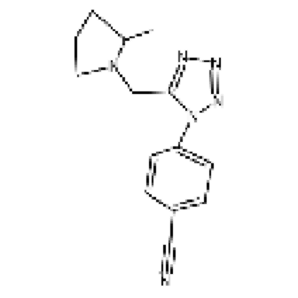 CC1CCCN1Cc1nnnn1-c1ccc(C#N)cc1